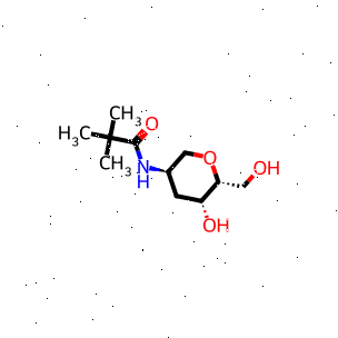 CC(C)(C)C(=O)N[C@H]1CO[C@H](CO)[C@H](O)C1